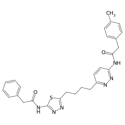 Cc1ccc(CC(=O)Nc2ccc(CCCCc3nnc(NC(=O)Cc4ccccc4)s3)nn2)cc1